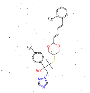 CC(C)(SC1COC(C=CC=Cc2ccccc2C(F)(F)F)OC1)C(O)(Cn1cncn1)c1ccc(C(F)(F)F)cc1